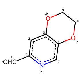 O=[C]c1cc2c(cn1)OCCO2